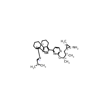 C[C@@H]1[C@H](N)[C@H]1C[C@H](C)[C@H](C)Oc1nccc(-c2onc3c2CCC[C@@]32CCCc3sc(/N=C/N(C)C)c(C#N)c32)n1